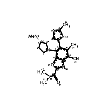 CN[C@H]1CCN(c2c(-c3csc(C)n3)c(C)c(C#N)c3nc(C(=O)N(C)C)oc23)C1